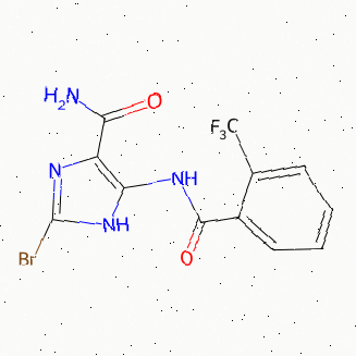 NC(=O)c1nc(Br)[nH]c1NC(=O)c1ccccc1C(F)(F)F